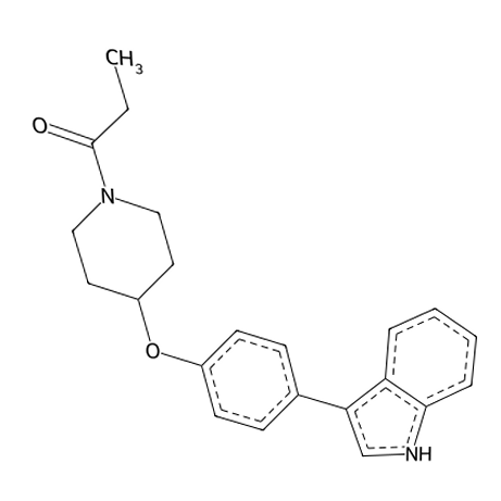 CCC(=O)N1CCC(Oc2ccc(-c3c[nH]c4ccccc34)cc2)CC1